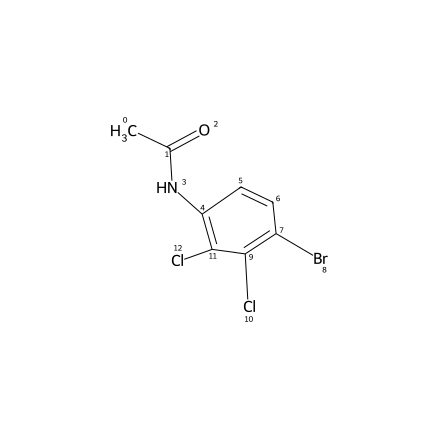 CC(=O)Nc1ccc(Br)c(Cl)c1Cl